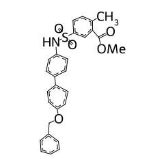 COC(=O)c1cc(S(=O)(=O)Nc2ccc(-c3ccc(OCc4ccccc4)cc3)cc2)ccc1C